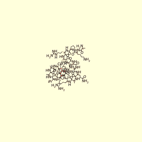 CC(C)[C@H](NC(=O)[C@H](CCCCN)NC(=O)[C@H](CCCNC(=N)N)NC(=O)[C@H]1CCCN1C(=O)[C@H](CCCCN)NC(=O)[C@H](C)N)C(=O)N[C@@H](C)C(=O)N[C@@H](C)C(=O)N[C@@H](CCC(N)=O)C(=O)N[C@@H](C)C(=O)N[C@@H](CCCCN)C(=O)N1CCC[C@H]1C(=O)N[C@@H](CCCNC(=N)N)C(=O)N[C@H](CCCCN)C(=O)N[C@H](C(=O)N[C@@H](C)C(=O)N[C@@H](C)C(=O)N[C@@H](CCC(N)=O)C(=O)O)C(C)C